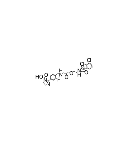 O=C(CNCc1ccc(C2=NCCN2C(=O)O)cc1F)COCCNCS(=O)(=O)c1cccc(Cl)c1Cl